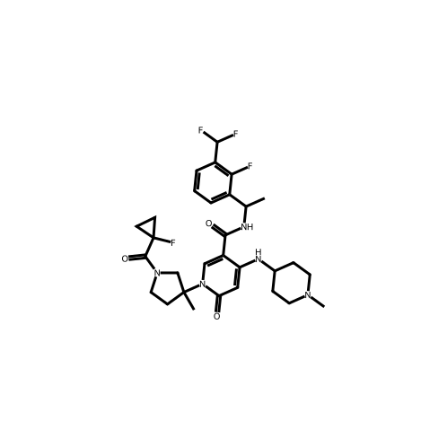 CC(NC(=O)c1cn(C2(C)CCN(C(=O)C3(F)CC3)C2)c(=O)cc1NC1CCN(C)CC1)c1cccc(C(F)F)c1F